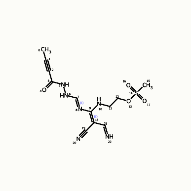 CC#CC(=O)NN/C=N/C(NCCOS(C)(=O)=O)=C(\C#N)C=N